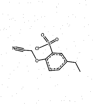 CCc1ccc(OCC#N)c(S(=O)(=O)Cl)c1